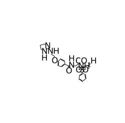 O=C(NCC(NS(=O)(=O)c1ccccc1)C(=O)O)c1ccc(OCCNC2=NCCCN2)cc1